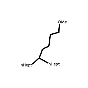 CCCCCCCC(CCCCCCC)CCCCOC